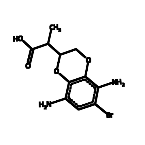 CC(C(=O)O)C1COc2c(N)c(Br)cc(N)c2O1